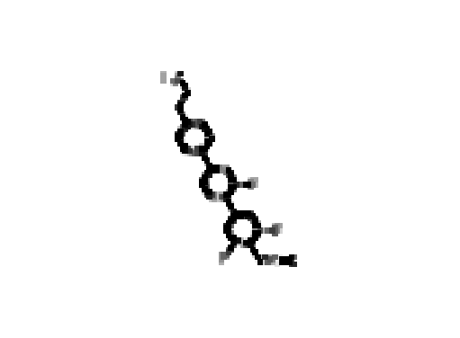 CCCc1ccc(-c2ccc(-c3cc(F)c(N=C=S)c(F)c3)c(F)c2)cc1